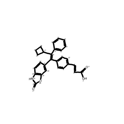 O=C(O)/C=C/c1ccc(/C(=C(\c2ccccc2)C2CCC2)c2ccc3[nH]c(=O)oc3c2)cc1